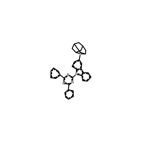 c1ccc(-c2nc(-c3ccccc3)nc(-n3c4ccccc4c4cc(N5C6CC7CC(C6)CC5C7)ccc43)n2)cc1